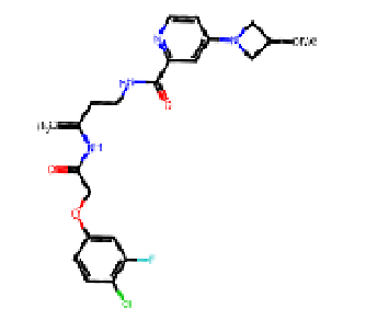 C=C(CCNC(=O)c1cc(N2CC(OC)C2)ccn1)NC(=O)COc1ccc(Cl)c(F)c1